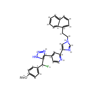 COc1ccc(C(F)c2[nH]nnc2-c2ccnc(-c3cn(CCc4cccc5ccccc45)cn3)c2)cc1